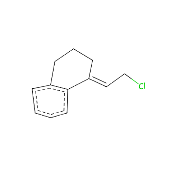 ClCC=C1CCCc2ccccc21